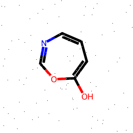 OC1=CC=CN=CO1